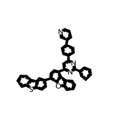 c1ccc(-c2nc(-c3ccc(-c4cccnc4)cc3)cc(-c3ccc(-c4ccc5sc6ccccc6c5c4)c4oc5ccccc5c34)n2)cc1